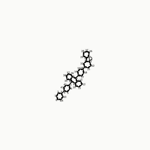 c1ccc(-c2ccc(-c3c4ccccc4c(-c4ccc(-c5ccc6oc7ccccc7c6c5)cc4)c4ccccc34)cc2)cc1